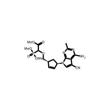 COC(=O)C(OC[C@@H]1C=C[C@H](n2cc(C#N)c3c(N)nc(C)nc32)C1)P(=O)(OC)OC